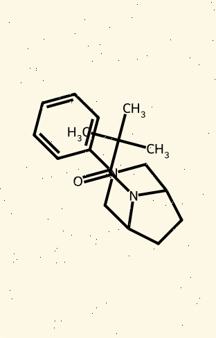 CC(C)(C)C(=O)N1C2CCC1CN(c1ccccc1)C2